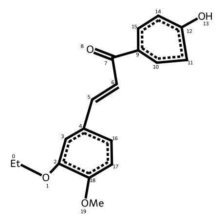 CCOc1cc(/C=C/C(=O)c2ccc(O)cc2)ccc1OC